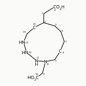 O=C(O)CC1CCCCCN(CC(=O)O)NNNCC1